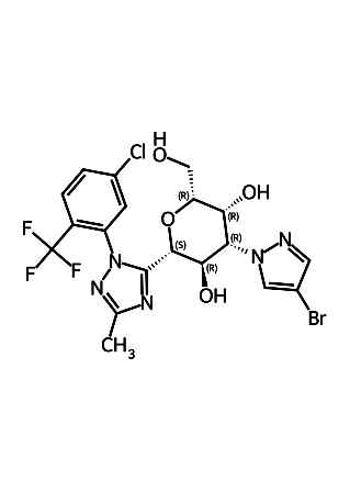 Cc1nc([C@@H]2O[C@H](CO)[C@H](O)[C@H](n3cc(Br)cn3)[C@H]2O)n(-c2cc(Cl)ccc2C(F)(F)F)n1